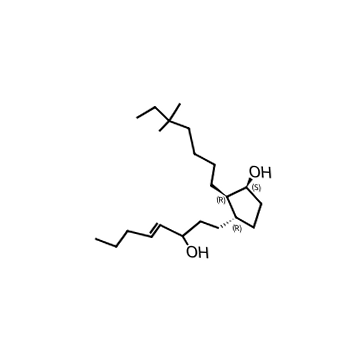 CCCC=CC(O)CC[C@H]1CC[C@H](O)[C@@H]1CCCCC(C)(C)CC